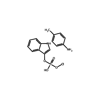 Cc1ccc(N)cc1.O=P(O)(OCl)Oc1c[nH]c2ccccc12